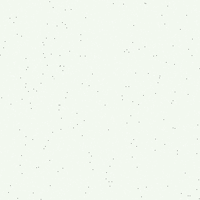 COC[C@](O)(C=O)Cc1ccccc1